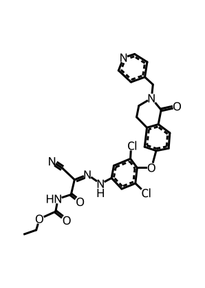 CCOC(=O)NC(=O)C(C#N)=NNc1cc(Cl)c(Oc2ccc3c(c2)CCN(Cc2ccncc2)C3=O)c(Cl)c1